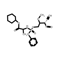 C#C[C@H](N=O)C(COP(=O)(NC(C)C(=O)OC1CCCCC1)Oc1ccccc1)OC